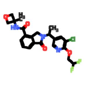 CC(c1cnc(OCC(F)F)c(Cl)c1)N1Cc2c(C(=O)NC3(C)COC3)cccc2C1=O